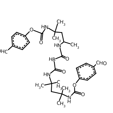 CC(CC(C)(C)NC(=O)Oc1ccc(C=O)cc1)NC(=O)BC(=O)NC(C)(C)CC(C)(C)NC(=O)Oc1ccc(C=O)cc1